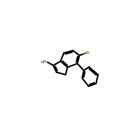 CCCC1=CCc2c1ccc(Br)c2-c1ccccc1